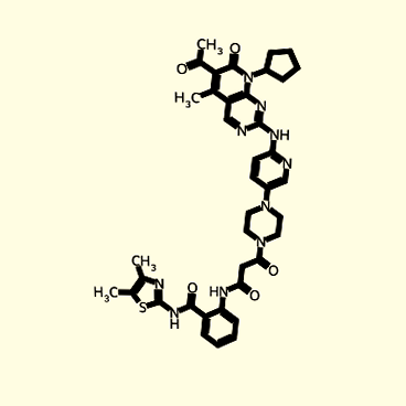 CC(=O)c1c(C)c2cnc(Nc3ccc(N4CCN(C(=O)CC(=O)Nc5ccccc5C(=O)Nc5nc(C)c(C)s5)CC4)cn3)nc2n(C2CCCC2)c1=O